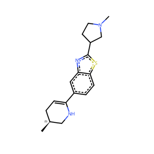 C[C@H]1CC=C(c2ccc3sc(C4CCN(C)C4)nc3c2)NC1